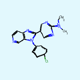 CN(C)c1ncc(-c2nc3ccncc3n2C2=CCC(Cl)C=C2)cn1